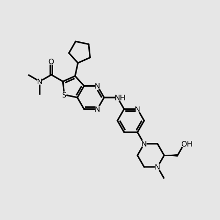 CN(C)C(=O)c1sc2cnc(Nc3ccc(N4CCN(C)[C@H](CO)C4)cn3)nc2c1C1CCCC1